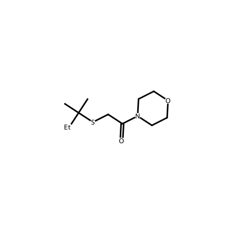 CCC(C)(C)SCC(=O)N1CCOCC1